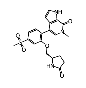 Cn1cc(-c2ccc(S(C)(=O)=O)cc2OC[C@H]2CCC(=O)N2)c2cc[nH]c2c1=O